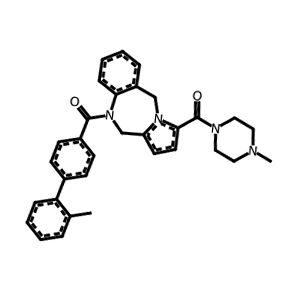 Cc1ccccc1-c1ccc(C(=O)N2Cc3ccc(C(=O)N4CCN(C)CC4)n3Cc3ccccc32)cc1